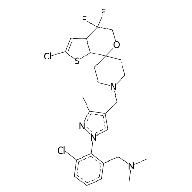 Cc1nn(-c2c(Cl)cccc2CN(C)C)cc1CN1CCC2(CC1)OCC(F)(F)C1C=C(Cl)SC12